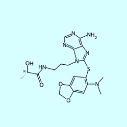 C[C@H](O)C(=O)NCCCn1c(Sc2cc3c(cc2N(C)C)OCO3)nc2c(N)ncnc21